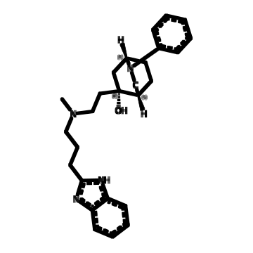 CN(CCCc1nc2ccccc2[nH]1)CC[C@@]1(O)C[C@@H]2CC[C@H]1CN2c1ccccc1